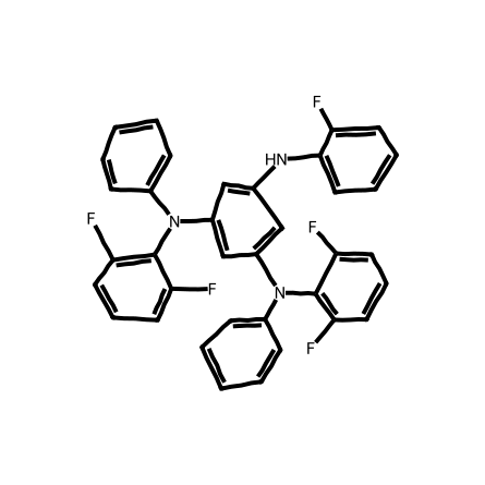 Fc1ccccc1Nc1cc(N(c2ccccc2)c2c(F)cccc2F)cc(N(c2ccccc2)c2c(F)cccc2F)c1